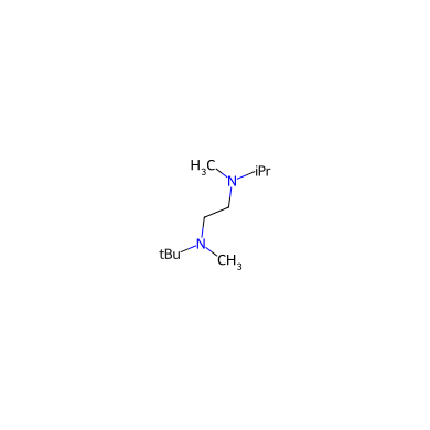 CC(C)N(C)CCN(C)C(C)(C)C